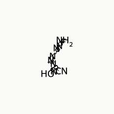 CC1CN(c2ccc(C#N)c3nc(O)ccc23)CC2CN(CCc3ccc(N4CC(N)C(F)C4)nc3)CCN12